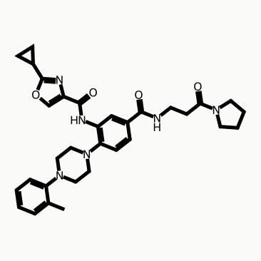 Cc1ccccc1N1CCN(c2ccc(C(=O)NCCC(=O)N3CCCC3)cc2NC(=O)c2coc(C3CC3)n2)CC1